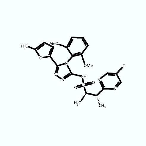 COc1cccc(OC)c1-n1c(NS(=O)(=O)[C@H](C)[C@@H](C)c2ncc(F)cn2)nnc1-c1ccc(C)o1